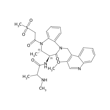 CNC(C)C(=O)N[C@@H]1C(=O)N(Cc2c(OC)cnc3ccccc23)c2ccccc2N(C(=O)CS(C)(=O)=O)[C@H]1C